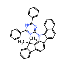 CC1(C)c2ccccc2-c2ccc3c4ccc5ccccc5c4n(-c4nc(-c5ccccc5)nc(-c5ccccc5)n4)c3c21